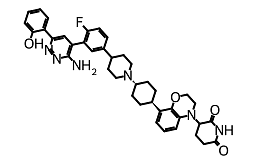 Nc1nnc(-c2ccccc2O)cc1-c1cc(C2CCN([C@H]3CC[C@H](c4cccc5c4OCCN5C4CCC(=O)NC4=O)CC3)CC2)ccc1F